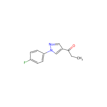 CCC(=O)c1cnn(-c2ccc(F)cc2)c1